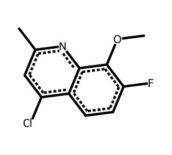 COc1c(F)ccc2c(Cl)cc(C)nc12